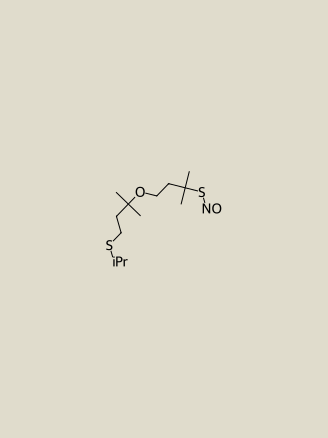 CC(C)SCCC(C)(C)OCCC(C)(C)SN=O